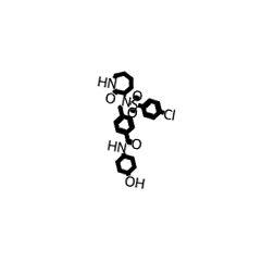 O=C(NC1CCC(O)CC1)c1ccc(CN([C@@H]2CCCCNC2=O)S(=O)(=O)c2ccc(Cl)cc2)cc1